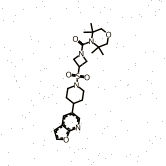 CC1(C)COCC(C)(C)N1C(=O)N1CC(S(=O)(=O)N2CCC(c3cnc4occc4c3)CC2)C1